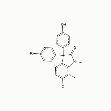 Cc1c(Cl)ccc2c1N(C)C(=O)C2(c1ccc(O)cc1)c1ccc(O)cc1